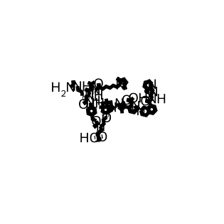 C=C(N)NCCC[C@H](NC(=C)[C@@H](NC(=O)CCCCCn1c(=C)ccc1=C)C(C)C)C(=O)Nc1ccc(COC(=C)N(CCO[C@]23CC4(C)CC5(C)CC(Cn6ncc(-c7ccc(N8CCc9cccc(C(=O)Nc%10nc%11ncccc%11s%10)c9C8)nc7C(=O)O)c6C)(C2)C54C3)CCS(=C)(=O)O)cc1